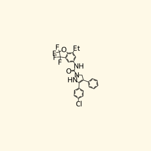 CCc1cc(NC(=O)N2CC(c3ccccc3)=C(c3ccc(Cl)cc3)N2)cc2c1OC(F)(F)C2(F)F